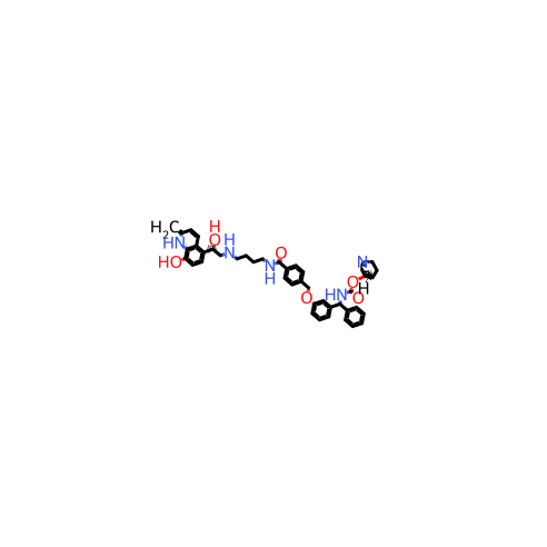 C=C1C=Cc2c([C@@H](O)CNCCCCNC(=O)c3ccc(COc4cccc(C(NC(=O)O[C@H]5CN6CCC5CC6)c5ccccc5)c4)cc3)ccc(O)c2N1